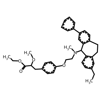 CCOC(=O)C(Cc1ccc(OCCN(C)C2c3ccc(CC)cc3CCc3ccc(-c4ccccc4)cc32)cc1)OC